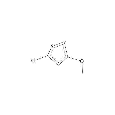 COc1[c]sc(Cl)c1